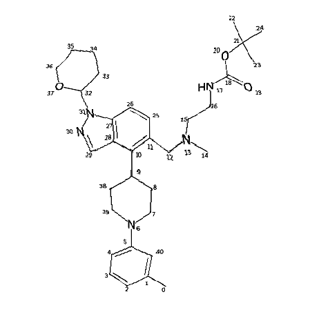 Cc1cccc(N2CCC(c3c(CN(C)CCNC(=O)OC(C)(C)C)ccc4c3cnn4C3CCCCO3)CC2)c1